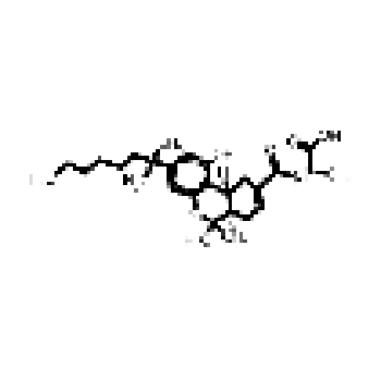 CCCCCCC(C)(C)c1cc(O)c2c(c1)OC(C)(C)[C@@H]1CC=C(C(=O)N[C@H](C)C(=O)O)C[C@@H]21